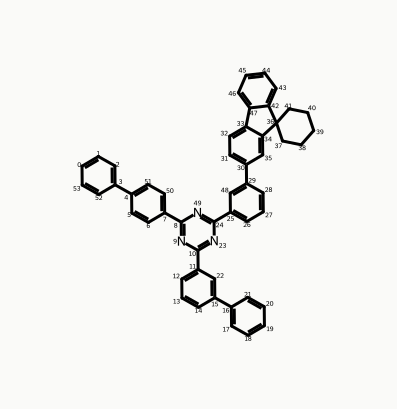 c1ccc(-c2ccc(-c3nc(-c4cccc(-c5ccccc5)c4)nc(-c4cccc(-c5ccc6c(c5)C5(CCCCC5)c5ccccc5-6)c4)n3)cc2)cc1